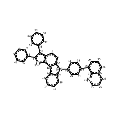 c1ccc(-c2oc3c(ccc4c3c3ccccc3n4-c3ccc(-c4cccc5cccnc45)cc3)c2-c2ccccc2)cc1